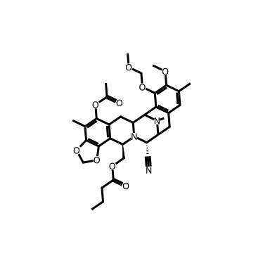 CCCC(=O)OC[C@H]1c2c(c(OC(C)=O)c(C)c3c2OCO3)CC2C3c4c(cc(C)c(OC)c4OCOC)CC([C@H](C#N)N21)N3C